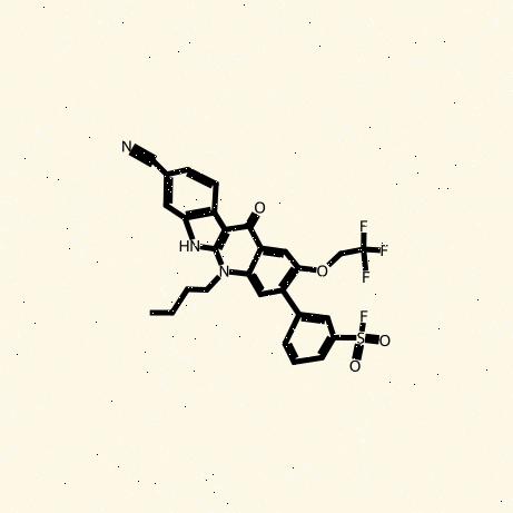 CCCCn1c2cc(-c3cccc(S(=O)(=O)F)c3)c(OCC(F)(F)F)cc2c(=O)c2c3ccc(C#N)cc3[nH]c21